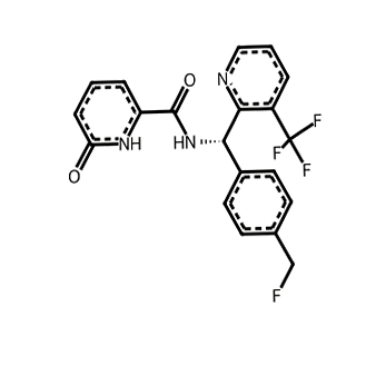 O=C(N[C@@H](c1ccc(CF)cc1)c1ncccc1C(F)(F)F)c1cccc(=O)[nH]1